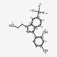 OCCn1nc(-c2ccc(O)cc2O)c2ccc(C(F)(F)F)cc21